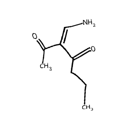 CCCC(=O)/C(=C\N)C(C)=O